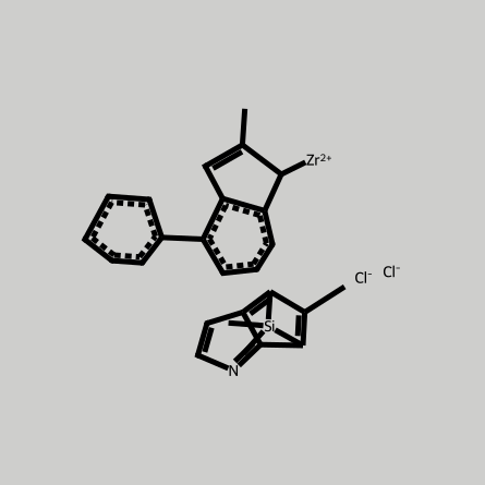 CC1=C2C3=NC=CC3=C1[Si]2(C)C.CC1=Cc2c(-c3ccccc3)cccc2[CH]1[Zr+2].[Cl-].[Cl-]